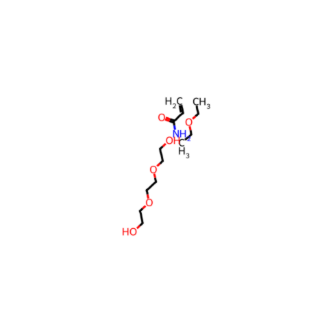 C=CC(N)=O.CCOCC.OCCOCCOCCO